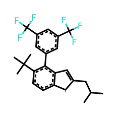 CC(C)CC1=Cc2c(ccc(C(C)(C)C)c2-c2cc(C(F)(F)F)cc(C(F)(F)F)c2)[CH]1